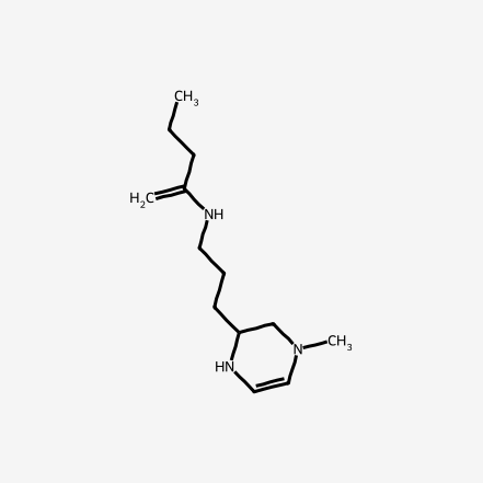 C=C(CCC)NCCCC1CN(C)C=CN1